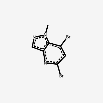 Cn1ncc2nc(Br)cc(Br)c21